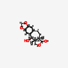 O=C1OC[C@H]2[C@@H]1CCc1cc3c(cc1[C@@H]2O)OCO3